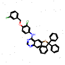 Fc1cccc(COc2ccc(Nc3ncnc4ccc(SC(c5ccccc5)(c5ccccc5)c5ccccc5)cc34)cc2Cl)c1